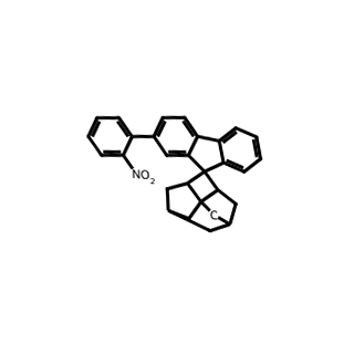 O=[N+]([O-])c1ccccc1-c1ccc2c(c1)C1(c3ccccc3-2)C2CC3CC4CC1C2(C3)C4